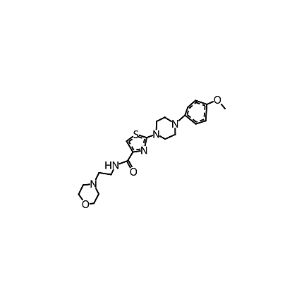 COc1ccc(N2CCN(c3nc(C(=O)NCCN4CCOCC4)cs3)CC2)cc1